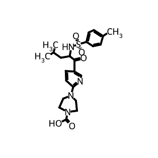 Cc1ccc(S(=O)(=O)NC(CC(C)C)C(=O)c2ccc(N3CCN(C(=O)O)CC3)nc2)cc1